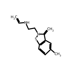 C=CNCCN1Sc2ccc(C)cc2C1=C